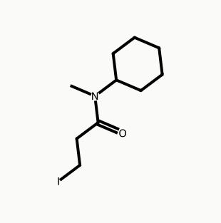 CN(C(=O)CCI)C1CCCCC1